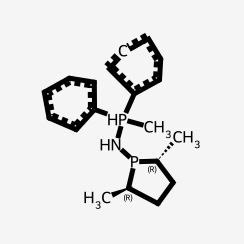 C[C@@H]1CC[C@@H](C)P1N[PH](C)(c1ccccc1)c1ccccc1